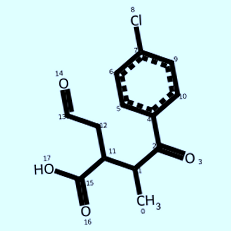 CC(C(=O)c1ccc(Cl)cc1)C(CC=O)C(=O)O